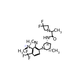 C=Nc1c(N2C[C@@H](C)C[C@@H](NC(=O)C(C)N3CC(F)(F)C3)C2)ccc(C(F)(F)F)c1/N=C\C